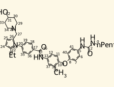 CCCCCNC(=O)Nc1ccc(Oc2ccc(NC(=O)c3ccc(-n4c(CC)ccc4CN4CCC(O)CC4)cc3)cc2C)cc1